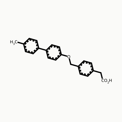 Cc1ccc(-c2ccc(OCc3ccc(CC(=O)O)cc3)cc2)cc1